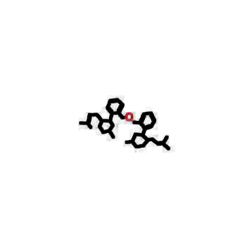 CC(C)=CCC1CCC(C)CC1c1ccccc1COCc1ccccc1C1CC(C)CCC1CC=C(C)C